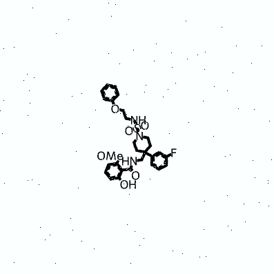 COc1cccc(O)c1C(=O)NCC1(c2cccc(F)c2)CCN(S(=O)(=O)NCCOc2ccccc2)CC1